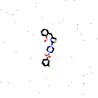 COc1ccccc1Cc1csc(N2CCN(S(=O)(=O)c3cccc(Cl)c3)CC2)n1